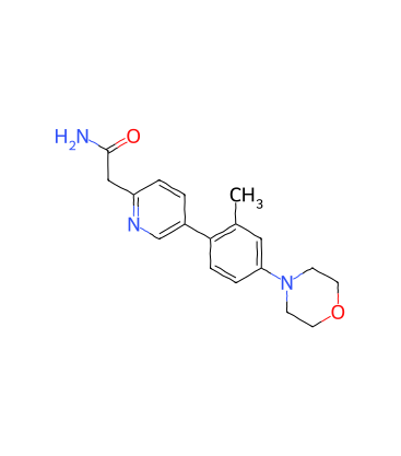 Cc1cc(N2CCOCC2)ccc1-c1ccc(CC(N)=O)nc1